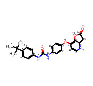 CC(C)(C)c1ccc(NC(=O)Nc2ccc(Oc3ccnc4c3OC(=O)C4)cc2)cc1